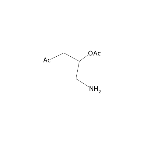 CC(=O)CC(CN)OC(C)=O